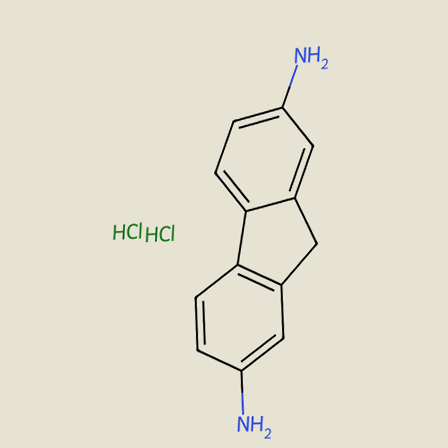 Cl.Cl.Nc1ccc2c(c1)Cc1cc(N)ccc1-2